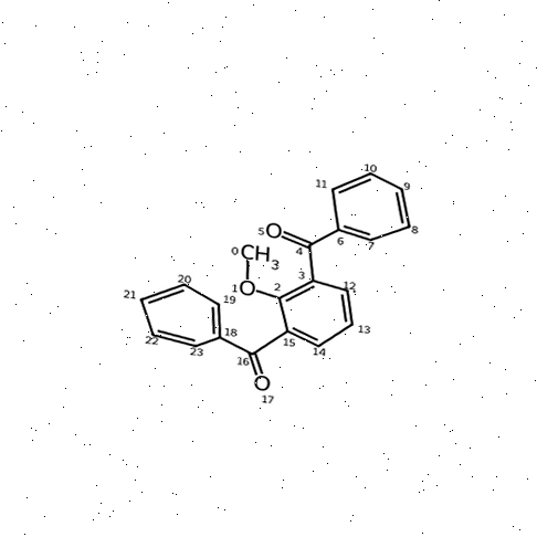 COc1c(C(=O)c2ccccc2)[c]ccc1C(=O)c1ccccc1